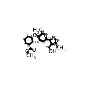 COC(=O)[C@H]1CCC[C@H](Oc2ccc(C3N=NN(C)C3CO)nc2C)C1